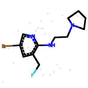 FCc1cc(Br)cnc1NCCN1CCCC1